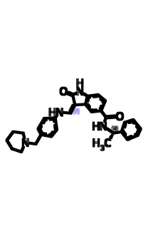 C[C@@H](NC(=O)c1ccc2c(c1)/C(=C/Nc1ccc(CN3CCCCC3)cc1)C(=O)N2)c1ccccc1